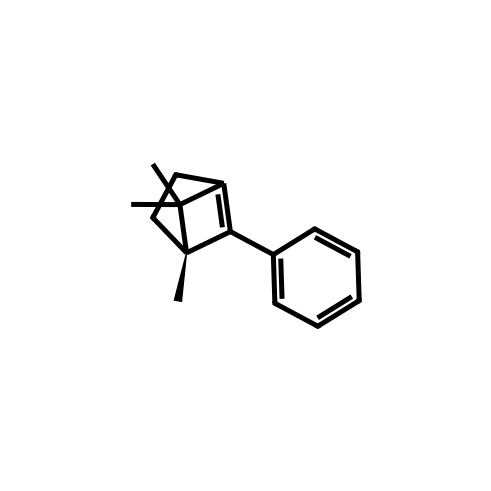 CC1(C)C2=C(c3ccccc3)[C@]1(C)CC2